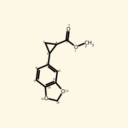 COC(=O)C1CC1c1ccc2c(c1)OCO2